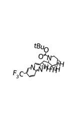 [2H]C1([2H])CCN(C(=O)OC(C)(C)C)[C@]([2H])(Cc2cn3cc(C(F)(F)F)ccc3n2)C1([2H])[2H]